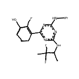 CC(C)Nc1nc(NC(C)C(C)(F)F)nc(C2=C(F)C(O)CCC2)n1